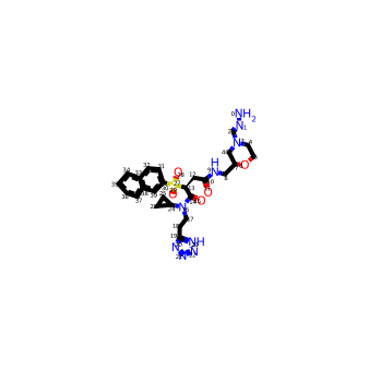 NN=CN1CCOC(CNC(=O)C[C@@H](C(=O)N(CCc2nnn[nH]2)C2CC2)S(=O)(=O)c2ccc3ccccc3c2)C1